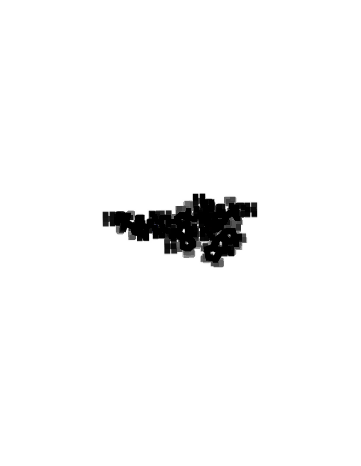 CC(C)(O)c1cnc(/S(N)=N/C(=O)Nc2c3c(nc4c2CCC4(C)CNS(=O)(=NC(=O)Nc2c4c(nc5c2CCC5(C)C)CCC4)c2ncc(C(C)(C)O)s2)CCC3)s1